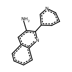 Nc1cc2ccccc2nc1-c1cccnc1